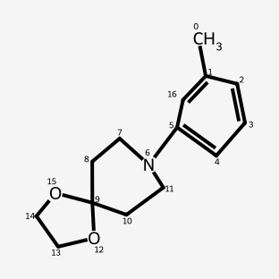 Cc1cccc(N2CCC3(CC2)OCCO3)c1